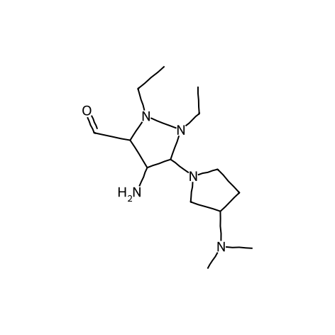 CCN1C(C=O)C(N)C(N2CCC(N(C)C)C2)N1CC